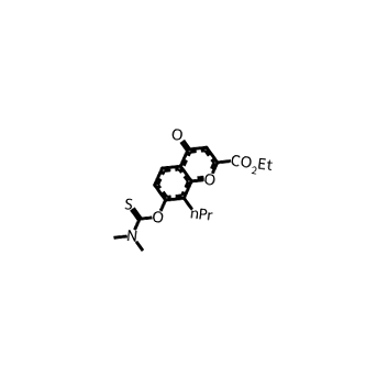 CCCc1c(OC(=S)N(C)C)ccc2c(=O)cc(C(=O)OCC)oc12